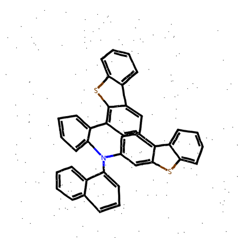 c1ccc(N(c2ccc3c(c2)sc2ccccc23)c2cccc3ccccc23)c(-c2cccc3c2sc2ccccc23)c1